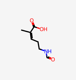 CC(=CCCNC=O)C(=O)O